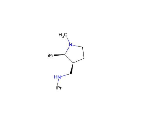 CC(C)NC[C@@H]1CCN(C)[C@@H]1C(C)C